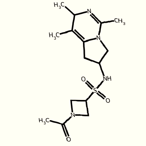 CC(=O)N1CC(S(=O)(=O)NC2CC3=C(C)C(C)N=C(C)N3C2)C1